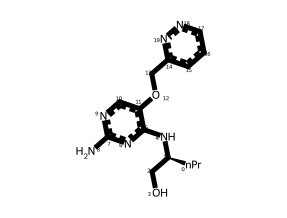 CCC[C@@H](CO)Nc1nc(N)ncc1OCc1cccnn1